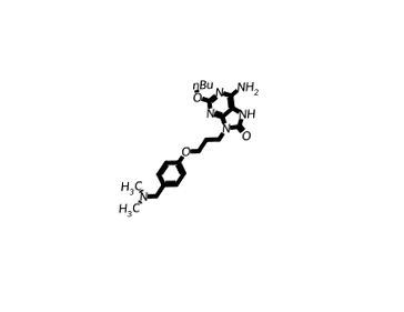 CCCCOc1nc(N)c2[nH]c(=O)n(CCCOc3ccc(CN(C)C)cc3)c2n1